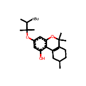 CCCCC(C)C(C)(C)Oc1cc(O)c2c(c1)OC(C)(C)C1=C2CC(C)CC1